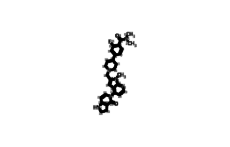 CN(C)C(=O)c1ccc(C2=CCN(Cc3cc4c(-n5ccc6c(c5=O)CCN6)ccnc4n3C)CC2)cc1F